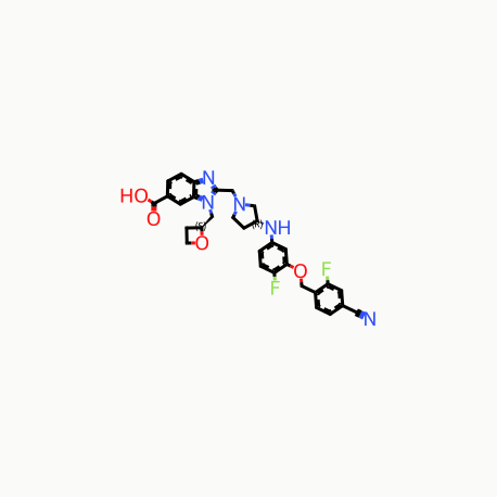 N#Cc1ccc(COc2cc(N[C@@H]3CCN(Cc4nc5ccc(C(=O)O)cc5n4C[C@@H]4CCO4)C3)ccc2F)c(F)c1